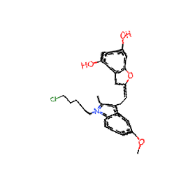 COc1ccc2c(c1)c(C=C1Cc3c(O)cc(O)cc3O1)c(C)n2CCCCCl